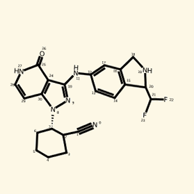 N#CC1CCCC[C@@H]1n1nc(Nc2ccc3c(c2)CNC3C(F)F)c2c(=O)[nH]ccc21